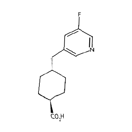 O=C(O)[C@H]1CC[C@H](Cc2cncc(F)c2)CC1